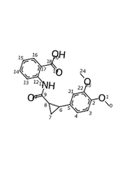 COc1ccc(C2CC2C(=O)Nc2ccccc2C(=O)O)cc1OC